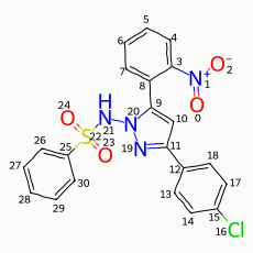 O=[N+]([O-])c1ccccc1-c1cc(-c2ccc(Cl)cc2)nn1NS(=O)(=O)c1ccccc1